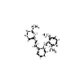 CC1=NC(/C=N/c2ccccc2Sc2c(C)cccc2C)=CCC1